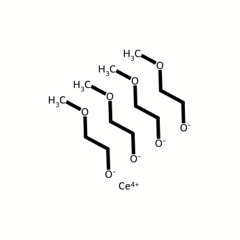 COCC[O-].COCC[O-].COCC[O-].COCC[O-].[Ce+4]